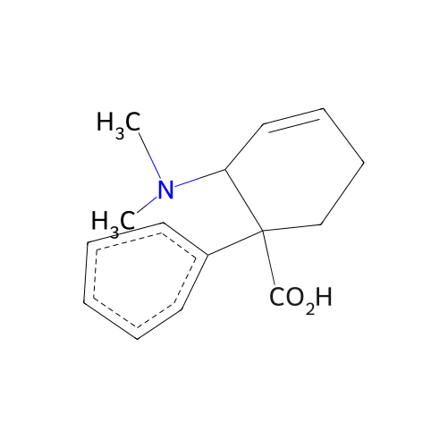 CN(C)C1C=CCCC1(C(=O)O)c1ccccc1